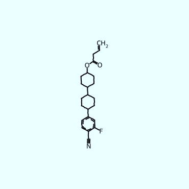 C=CCC(=O)OC1CCC(C2CCC(c3ccc(C#N)c(F)c3)CC2)CC1